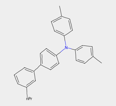 CCCc1cccc(-c2ccc(N(c3ccc(C)cc3)c3ccc(C)cc3)cc2)c1